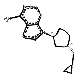 Nc1ncnc2c1ccn2[C@H]1CC[C@H](CC2CC2)C1